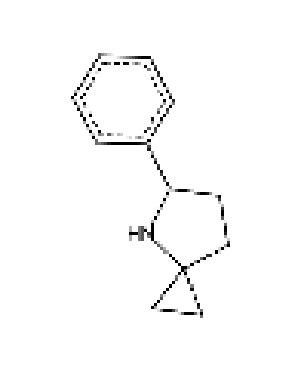 c1ccc(C2CCC3(CC3)N2)cc1